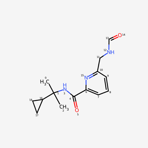 CC(C)(NC(=O)c1cccc(CNC=O)n1)C1CC1